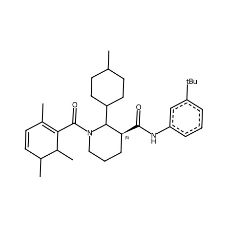 CC1=C(C(=O)N2CCC[C@H](C(=O)Nc3cccc(C(C)(C)C)c3)C2C2CCC(C)CC2)C(C)C(C)C=C1